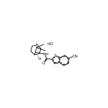 CC1(C)[C@@H](NC(=O)c2cc3ccc(C#N)cc3s2)C2CCN1CC2.Cl